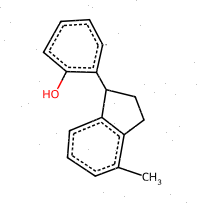 Cc1cccc2c1CCC2c1[c]cccc1O